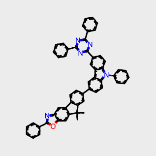 CC1(C)c2cc(-c3ccc4c(c3)c3cc(-c5nc(-c6ccccc6)nc(-c6ccccc6)n5)ccc3n4-c3ccccc3)ccc2-c2cc3nc(-c4ccccc4)oc3cc21